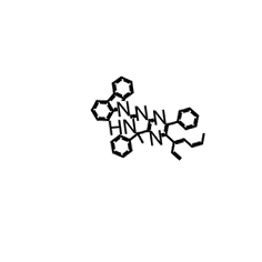 C=C/C(=C\C=C/C)c1nc2c(nc1-c1ccccc1)N=C(n1c3ccccc3c3ccccc31)NC2(C)c1ccccc1